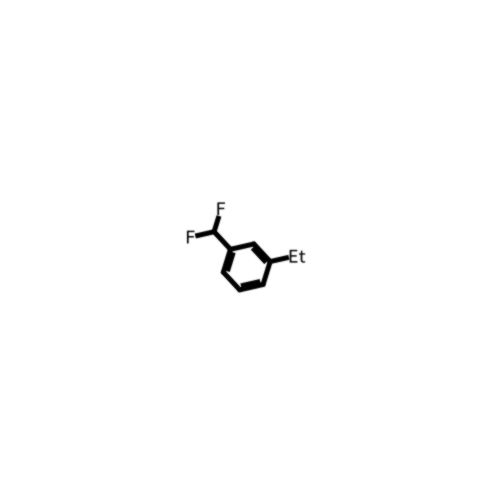 CCc1cccc(C(F)F)c1